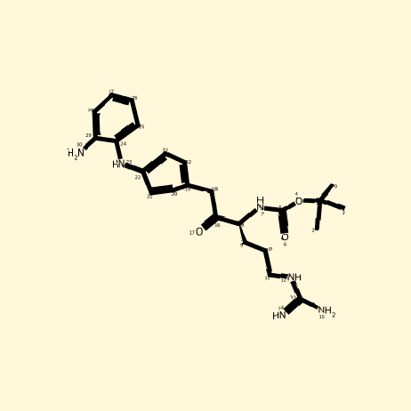 CC(C)(C)OC(=O)N[C@@H](CCCNC(=N)N)C(=O)Cc1ccc(Nc2ccccc2N)cc1